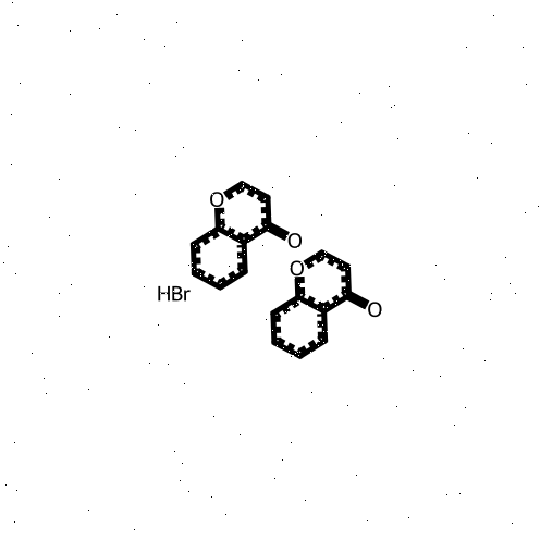 Br.O=c1ccoc2ccccc12.O=c1ccoc2ccccc12